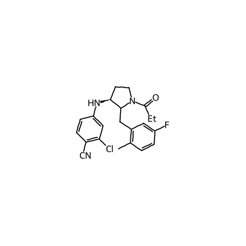 CCC(=O)N1CC[C@H](Nc2ccc(C#N)c(Cl)c2)C1Cc1cc(F)ccc1C